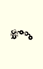 CCc1nc2c(C)cccn2c1C(=O)NCc1ccc(N2CCC(Cc3ccccc3)CC2)cc1